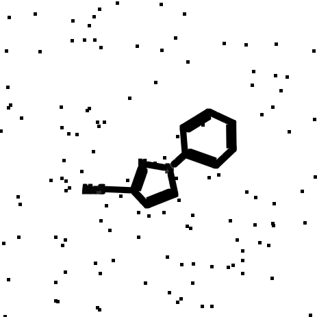 CSc1ccn(-c2ccccc2)n1